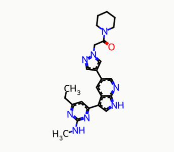 CCc1cc(-c2c[nH]c3ncc(-c4cnn(CC(=O)N5CCCCC5)c4)cc23)nc(NC)n1